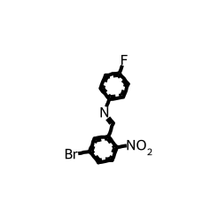 O=[N+]([O-])c1ccc(Br)cc1C=Nc1ccc(F)cc1